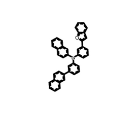 c1cc(-c2ccc3ccccc3c2)cc(N(c2cccc(-c3cc4ccccc4o3)c2)c2ccc3ccccc3c2)c1